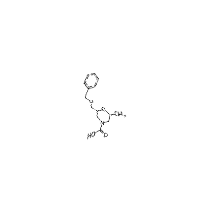 CC1CN(C(=O)O)CC(COCc2ccccc2)O1